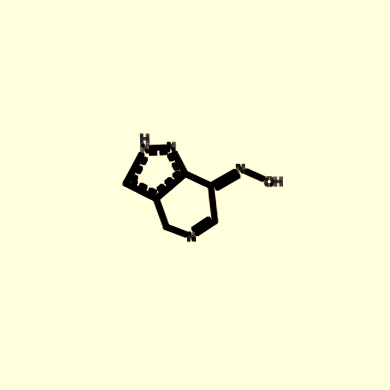 O/N=C1\C=NCc2c[nH]nc21